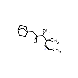 C=C(/C=C\C)C(O)C(=O)CC12CCC(CC1)C2